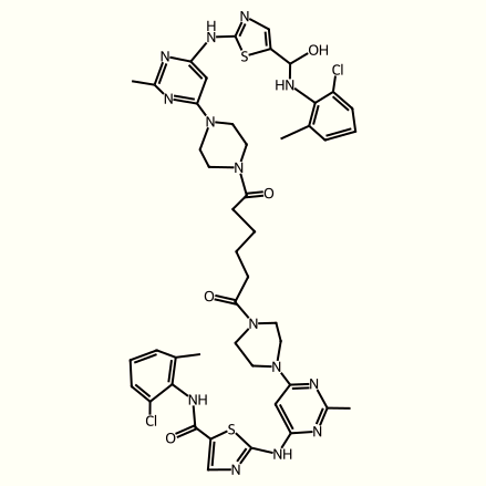 Cc1nc(Nc2ncc(C(=O)Nc3c(C)cccc3Cl)s2)cc(N2CCN(C(=O)CCCCC(=O)N3CCN(c4cc(Nc5ncc(C(O)Nc6c(C)cccc6Cl)s5)nc(C)n4)CC3)CC2)n1